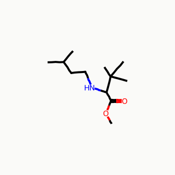 COC(=O)C(NCCC(C)C)C(C)(C)C